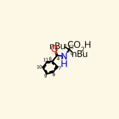 CCCCC(CCCC)(NC(=O)c1ccccc1)C(=O)O